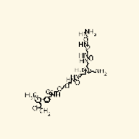 C=C(Cl)/C=C1\CCN(C)C[C@H]1c1cccc([S+]([O-])NCCOCCOCCNC(=O)NCCC[N+](C)(CCCN)CCCNC(=O)NCCONCOCNN)c1